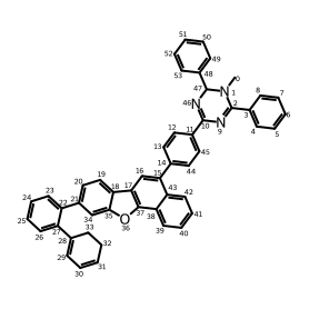 CN1C(c2ccccc2)=NC(c2ccc(-c3cc4c5ccc(-c6ccccc6C6=CC=CCC6)cc5oc4c4ccccc34)cc2)=NC1c1ccccc1